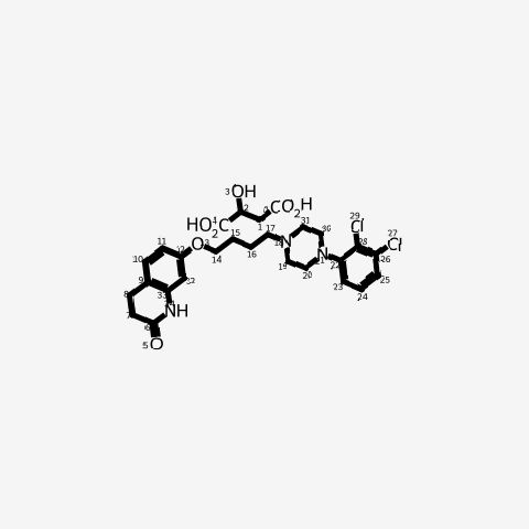 O=C(O)CC(O)C(=O)O.O=C1CCc2ccc(OCCCCN3CCN(c4cccc(Cl)c4Cl)CC3)cc2N1